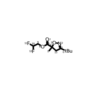 CC(C)(C)C1=NOC(C)(C(=O)OCC(F)F)C1